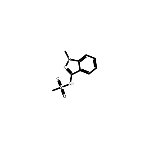 Cn1nc(NS(C)(=O)=O)c2ccccc21